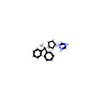 N#CC(c1ccccc1)(c1ccccc1)[C@@H]1CC[C@H](n2cncn2)C1